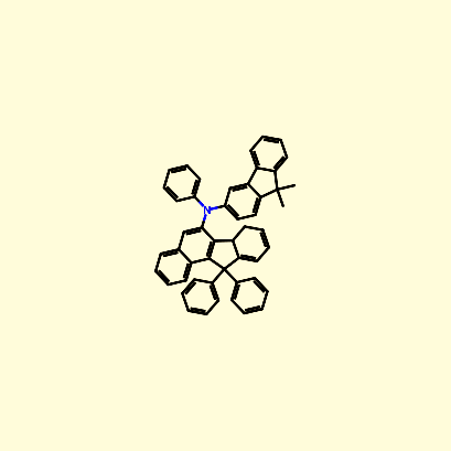 CC1(C)c2ccccc2-c2cc(N(c3ccccc3)c3cc4ccccc4c4c3C3CC=CC=C3C4(c3ccccc3)c3ccccc3)ccc21